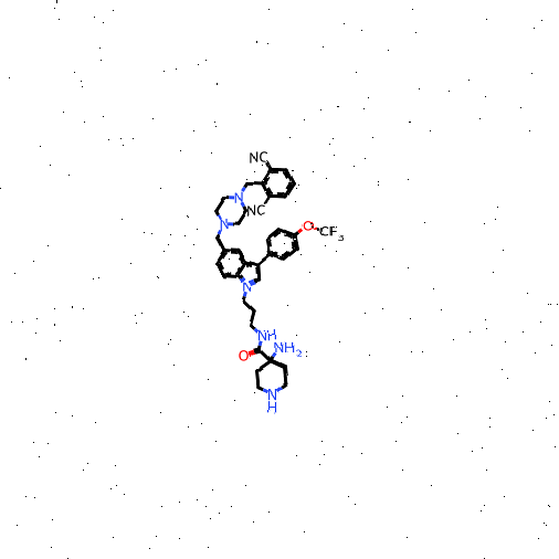 N#Cc1cccc(C#N)c1CN1CCN(Cc2ccc3c(c2)c(-c2ccc(OC(F)(F)F)cc2)cn3CCCNC(=O)C2(N)CCNCC2)CC1